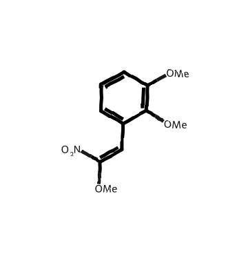 CO/C(=C/c1cccc(OC)c1OC)[N+](=O)[O-]